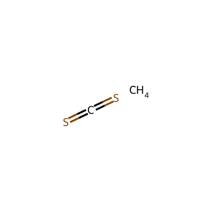 C.S=C=S